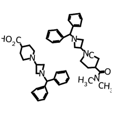 CN(C)C(=O)C1CCN(C2CN(C(c3ccccc3)c3ccccc3)C2)CC1.O=C(O)C1CCN(C2CN(C(c3ccccc3)c3ccccc3)C2)CC1